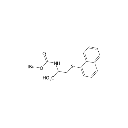 CC(C)(C)OC(=O)NC(CSc1cccc2ccccc12)C(=O)O